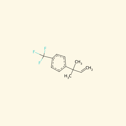 C=CC(C)(C)c1ccc(C(F)(F)F)cc1